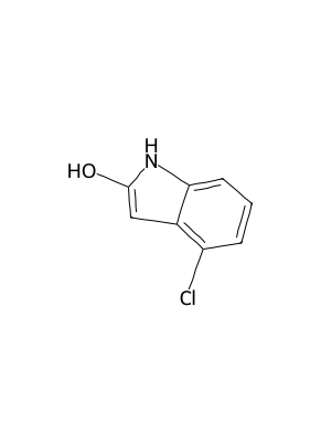 Oc1cc2c(Cl)cccc2[nH]1